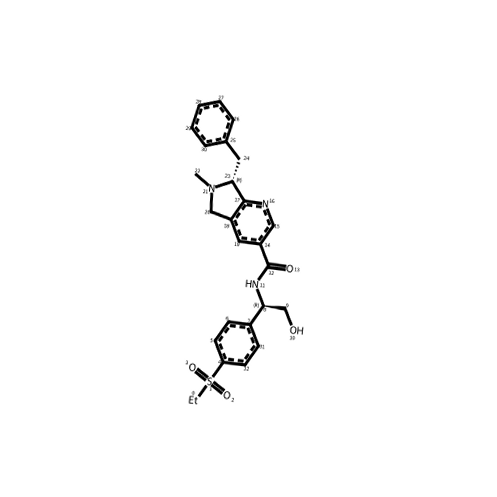 CCS(=O)(=O)c1ccc([C@H](CO)NC(=O)c2cnc3c(c2)CN(C)[C@@H]3Cc2ccccc2)cc1